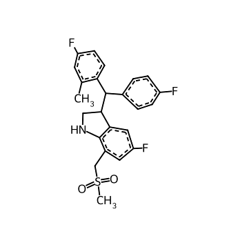 Cc1cc(F)ccc1C(c1ccc(F)cc1)C1CNc2c(CS(C)(=O)=O)cc(F)cc21